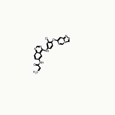 C=CC(=O)Nc1ccc2ncnc(Nc3ccc(Oc4cc5nncn5cn4)c(Cl)c3)c2c1